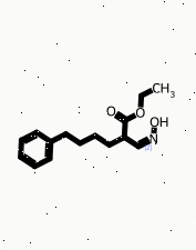 CCOC(=O)C(/C=N\O)CCCCc1ccccc1